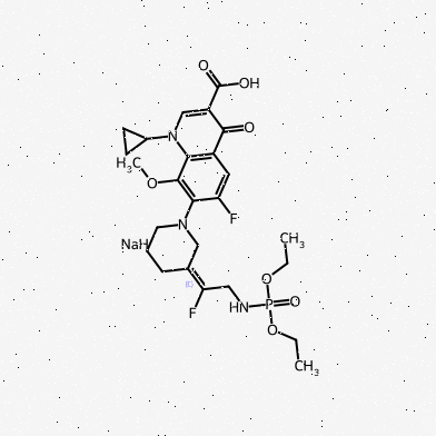 CCOP(=O)(NC/C(F)=C1/CCCN(c2c(F)cc3c(=O)c(C(=O)O)cn(C4CC4)c3c2OC)C1)OCC.[NaH]